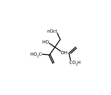 C=C(C(=O)O)C(O)(O)CCCCCCCCC.C=CC(=O)O